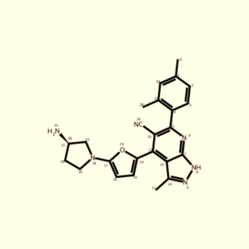 Cc1ccc(-c2nc3[nH]nc(C)c3c(-c3ccc(N4CC[C@@H](N)C4)o3)c2C#N)c(C)c1